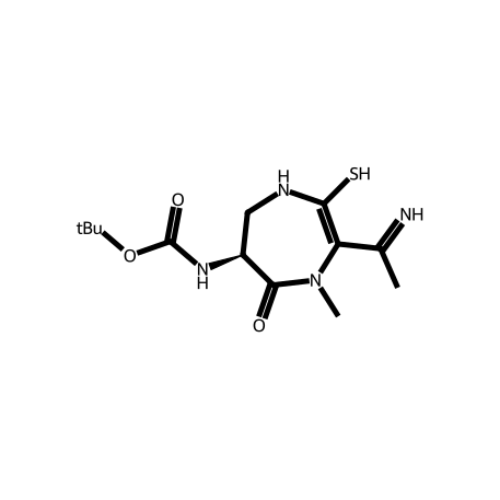 CC(=N)C1=C(S)NC[C@H](NC(=O)OC(C)(C)C)C(=O)N1C